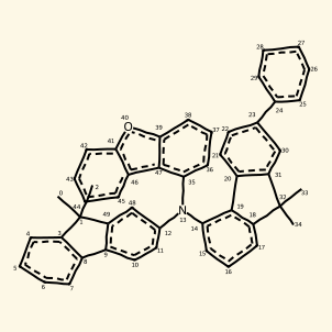 CC1(C)c2ccccc2-c2ccc(N(c3cccc4c3-c3ccc(-c5ccccc5)cc3C4(C)C)c3cccc4oc5ccccc5c34)cc21